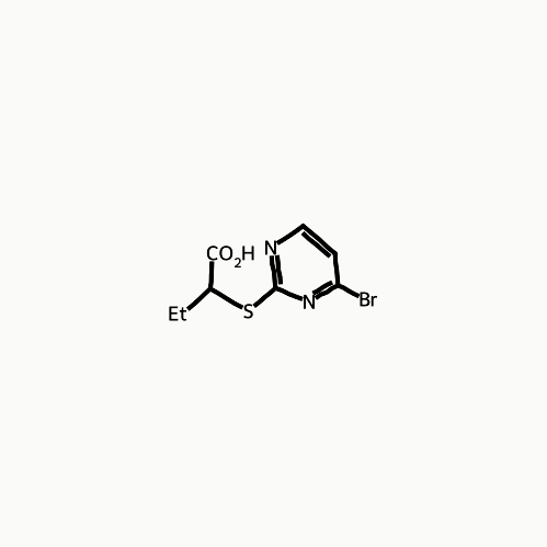 CCC(Sc1nccc(Br)n1)C(=O)O